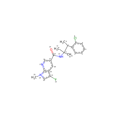 CC(c1ccccc1Cl)C(C)(C)NC(=O)c1cnc2c(c1)c(F)cn2C